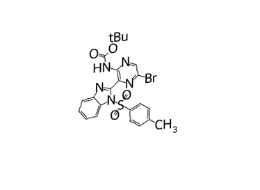 Cc1ccc(S(=O)(=O)n2c(-c3nc(Br)cnc3NC(=O)OC(C)(C)C)nc3ccccc32)cc1